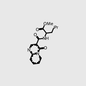 COC(=O)C(CC(C)C)NC(=O)c1cnc2ccccn2c1=O